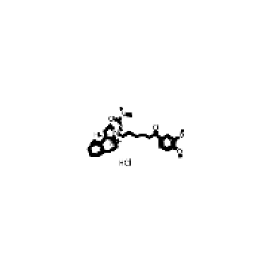 COc1ccc(C(=O)CCCCC[N+]2(OC(=O)N(C)C)CC[C@H]3c4ccccc4CC[C@H]32)cc1OC.Cl